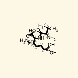 CC(C)[C@H](N)C(=O)N[C@H](C(=O)O)[C@H](CN)CCCB(O)O